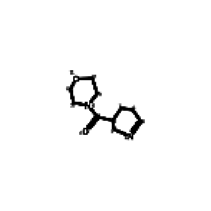 O=C(C1[C]N=CCC1)N1CCOCC1